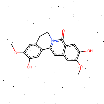 COc1cc2c(cc1O)-c1cc3cc(OC)c(O)cc3c(=O)n1CC2